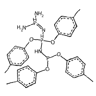 Cc1ccc(OP(N[PH](N=[PH](N)N)(Oc2ccc(C)cc2)Oc2ccc(C)cc2)Oc2ccc(C)cc2)cc1